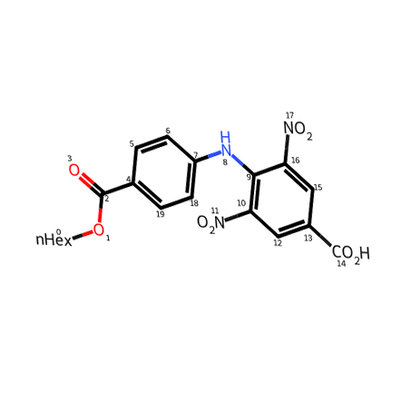 CCCCCCOC(=O)c1ccc(Nc2c([N+](=O)[O-])cc(C(=O)O)cc2[N+](=O)[O-])cc1